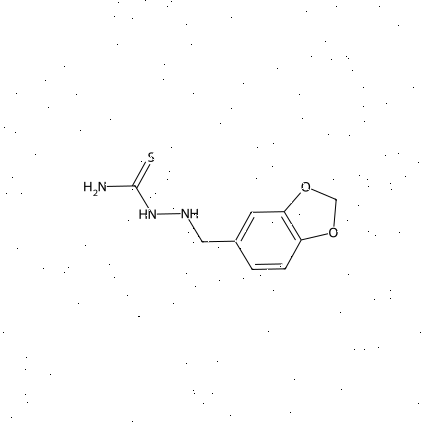 NC(=S)NNCc1ccc2c(c1)OCO2